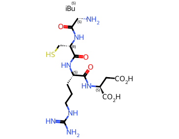 CC[C@H](C)[C@H](N)C(=O)N[C@@H](CS)C(=O)N[C@@H](CCCNC(=N)N)C(=O)N[C@@H](CC(=O)O)C(=O)O